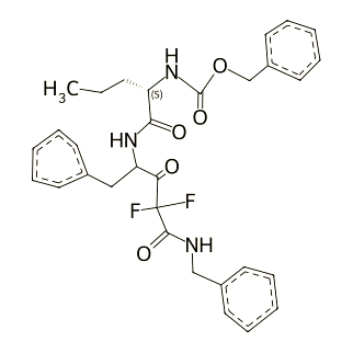 CCC[C@H](NC(=O)OCc1ccccc1)C(=O)NC(Cc1ccccc1)C(=O)C(F)(F)C(=O)NCc1ccccc1